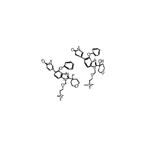 Cn1cc(-c2ccc3c(nc(C4(F)CCOCC4)n3COCC[Si](C)(C)C)c2Oc2ccccc2)ccc1=O.Cn1cc(-c2ccc3c(nc(C4(O)CCOCC4)n3COCC[Si](C)(C)C)c2Oc2ccccc2)ccc1=O